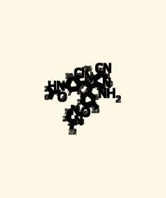 C=C(C)C(=O)Nc1ccc(-c2c(-c3ccc(Oc4nccc(C)n4)c(C)c3)c3c(N)ncc(C#N)c3n2C)c(Cl)c1